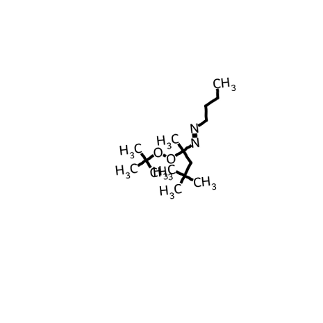 CCCCN=NC(C)(CC(C)(C)C)OOC(C)(C)C